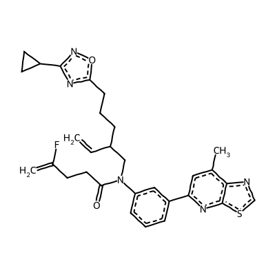 C=CC(CCCc1nc(C2CC2)no1)CN(C(=O)CCC(=C)F)c1cccc(-c2cc(C)c3ncsc3n2)c1